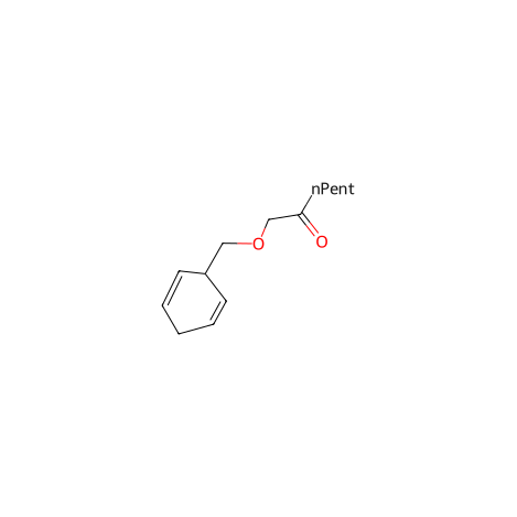 CCCCCC(=O)COCC1C=CCC=C1